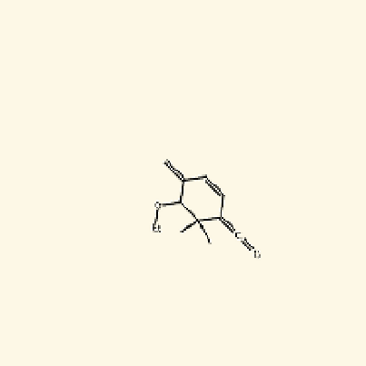 C=C1C=CC(=C=O)C(C)(C)C1OCC